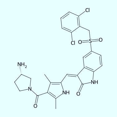 Cc1[nH]c(/C=C2\C(=O)Nc3ccc(S(=O)(=O)Cc4c(Cl)cccc4Cl)cc32)c(C)c1C(=O)N1CC[C@H](N)C1